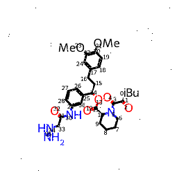 CC[C@@H](C)C(=O)C(=O)N1CCCC[C@H]1C(=O)O[C@H](CCc1ccc(OC)c(OC)c1)c1cccc(NC(=O)CNN)c1